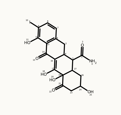 NC(=O)C1C2Cc3ccc(I)c(O)c3C(=O)C2=C(O)C2(O)C(=O)CC(O)CC12